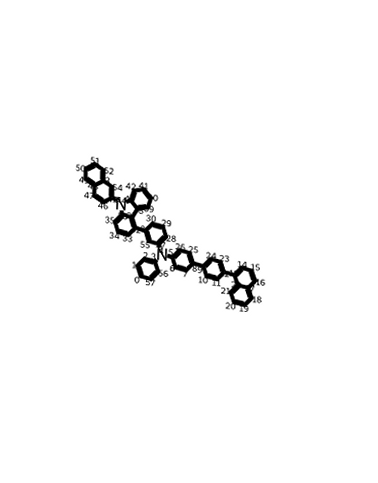 c1ccc(N(c2ccc(-c3ccc(-c4cccc5ccccc45)cc3)cc2)c2cccc(-c3cccc4c3c3ccccc3n4-c3ccc4ccccc4c3)c2)cc1